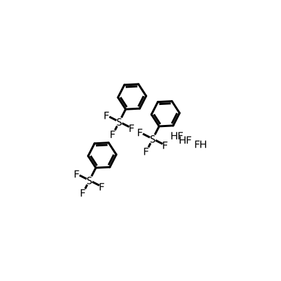 F.F.F.FS(F)(F)c1ccccc1.FS(F)(F)c1ccccc1.FS(F)(F)c1ccccc1